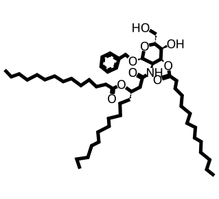 CCCCCCCCCCCCCC(=O)O[C@@H](CCCCCCCCCCC)CC(=O)N[C@H]1[C@H](OCc2ccccc2)O[C@H](CO)[C@@H](O)[C@@H]1OC(=O)CCCCCCCCCCCCC